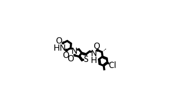 Cc1ccc([C@@H](C)C(=O)NCc2scc3c2CN(C2CCC(=O)NC2=O)C3=O)cc1Cl